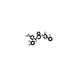 CN[C@@H]1CCN(C(=O)N2CC[C@@H](Cn3cnc(-c4ccccc4F)cc3=O)C3(CCCC3)C2)[C@H](c2cccc(F)c2F)C1